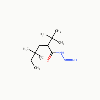 CCC(C)(C)CC(C(=O)NN=N)C(C)(C)C